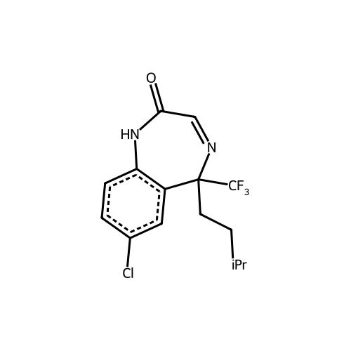 CC(C)CCC1(C(F)(F)F)N=CC(=O)Nc2ccc(Cl)cc21